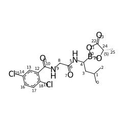 CC(C)CC(NC(=O)CNC(=O)c1cc(Cl)ccc1Cl)B1OC(=O)[C@H](C)O1